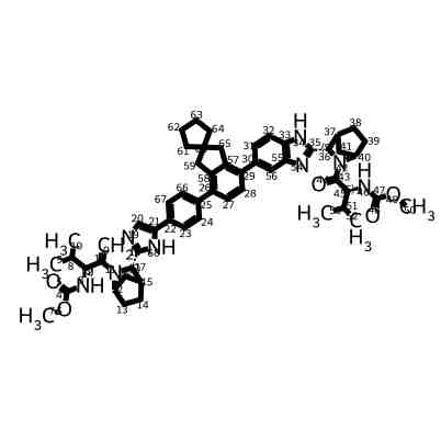 C=C([C@@H](NC(=O)OC)C(C)C)N1C2CCC(C2)[C@H]1c1ncc(-c2ccc(-c3ccc(-c4ccc5[nH]c([C@@H]6C7CCC(C7)N6C(=O)[C@@H](NC(=O)OC)C(C)C)nc5c4)c4c3CC3(CCCC3)C4)cc2)[nH]1